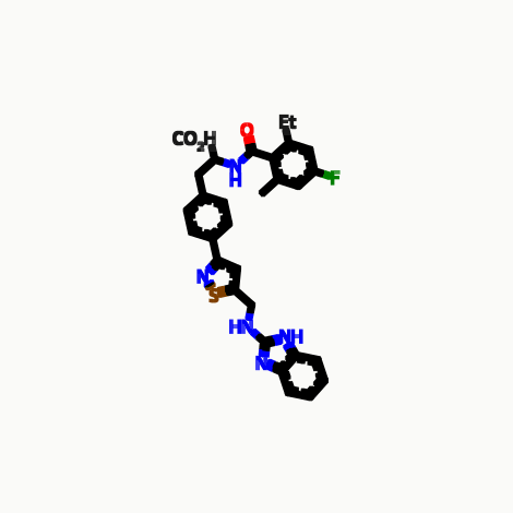 CCc1cc(F)cc(C)c1C(=O)NC(Cc1ccc(-c2cc(CNc3nc4ccccc4[nH]3)sn2)cc1)C(=O)O